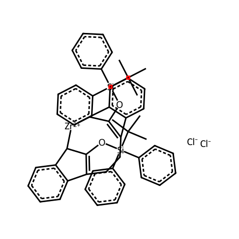 CC(C)(C)[Si](OC1=C2CCC3=C(O[Si](c4ccccc4)(c4ccccc4)C(C)(C)C)[CH]([Zr+2][CH]1c1ccccc12)c1ccccc13)(c1ccccc1)c1ccccc1.[Cl-].[Cl-]